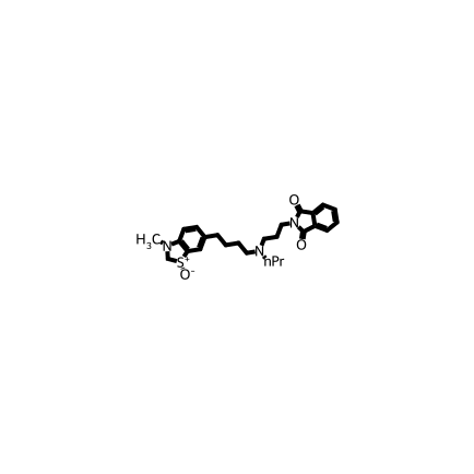 CCCN(CCCCc1ccc2c(c1)[S+]([O-])CN2C)CCCN1C(=O)c2ccccc2C1=O